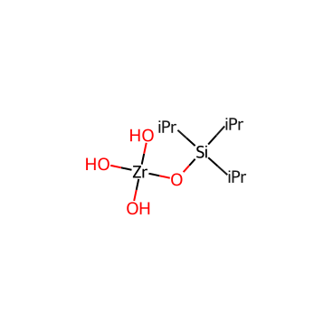 CC(C)[Si]([O][Zr]([OH])([OH])[OH])(C(C)C)C(C)C